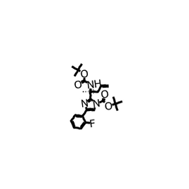 C=CC[C@](C)(NC(=O)OC(C)(C)C)c1nc(-c2ccccc2F)cn1C(=O)OC(C)(C)C